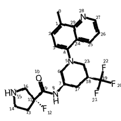 Cc1ccc(N2C[C@H](NC(=O)[C@@]3(F)CCNC3)C[C@H](C(F)(F)F)C2)c2cccnc12